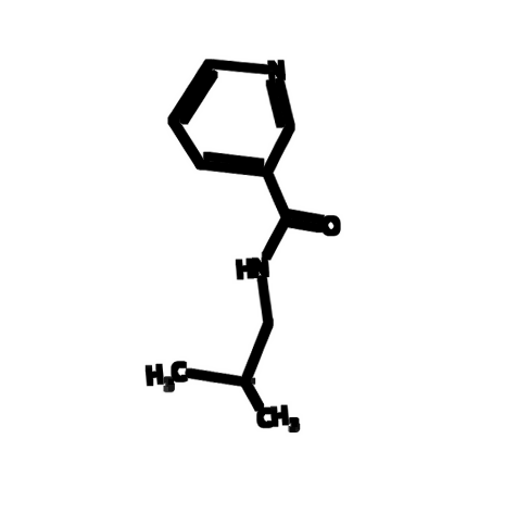 C[C](C)CNC(=O)c1cccnc1